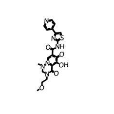 COCCN1CN(C)n2cc(C(=O)Nc3nc(-c4ccncc4)cs3)c(=O)c(O)c2C1=O